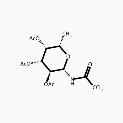 CC(=O)O[C@@H]1[C@H](OC(C)=O)[C@H](C)O[C@H](NC(=O)C(Cl)(Cl)Cl)[C@H]1OC(C)=O